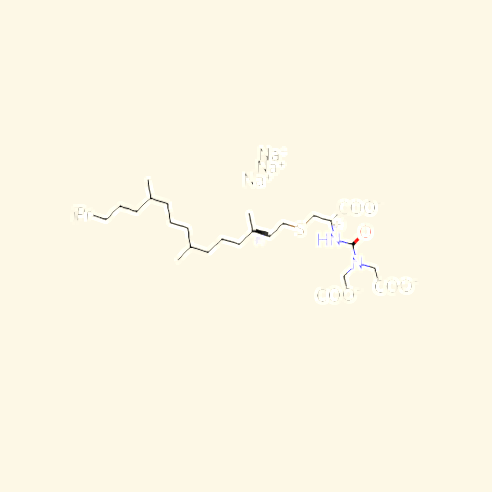 C/C(=C\CSC[C@H](NC(=O)N(CC(=O)[O-])CC(=O)[O-])C(=O)[O-])CCCC(C)CCCC(C)CCCC(C)C.[Na+].[Na+].[Na+]